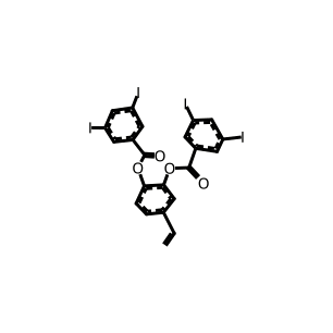 C=Cc1ccc(OC(=O)c2cc(I)cc(I)c2)c(OC(=O)c2cc(I)cc(I)c2)c1